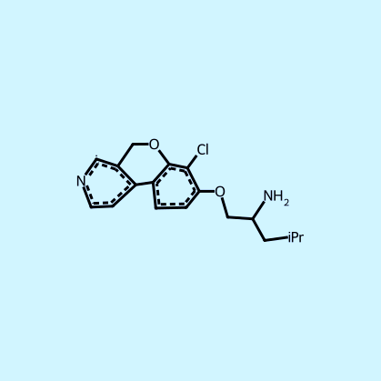 CC(C)CC(N)COc1ccc2c(c1Cl)OCc1[c]nccc1-2